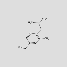 Cc1cc(CC(C)C)ccc1CC(C)C=O